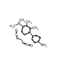 Cc1c(-c2ccc(N)cc2)ccc(N(C)C)c1C.O=C=NCN=C=O